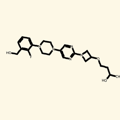 CC(O)CCOC1CN(c2ncc(N3CCN(c4cccc(CO)c4F)CC3)cn2)C1